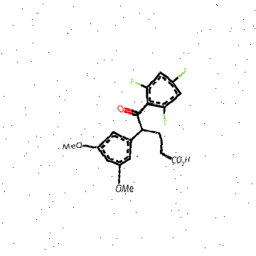 COc1cc(OC)cc(C(CCC(=O)O)C(=O)c2c(F)cc(F)cc2F)c1